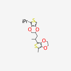 Cc1sc(C(C)CC2COc3c(csc3C(C)C)O2)c2c1OCCO2